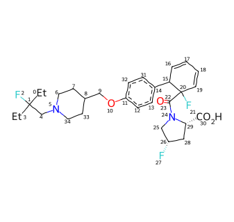 CCC(F)(CC)CN1CCC(COc2ccc(C3C=CC=CC3(F)C(=O)N3C[C@@H](F)C[C@H]3C(=O)O)cc2)CC1